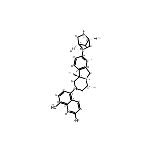 [2H]c1ccc2c(N3C[C@@H](C)N4Cc5nc(N6C[C@H]7C[C@@H]6CN7)ccc5[C@H]4C3)ccc(C#N)c2n1